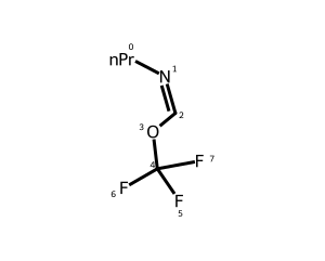 CCC/N=C\OC(F)(F)F